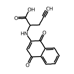 C#CCC(NC1=CC(=O)c2ccccc2C1=O)C(=O)O